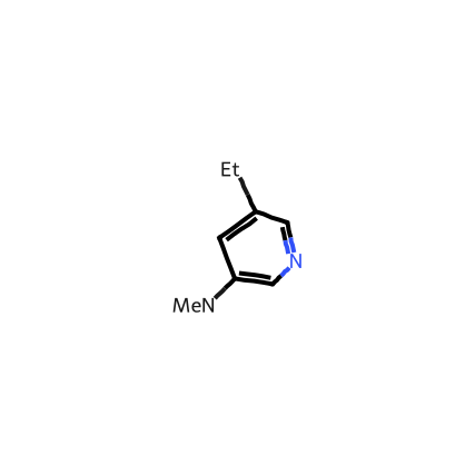 [CH2]Cc1cncc(NC)c1